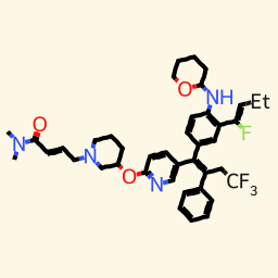 CC/C=C(\F)c1cc(/C(=C(\CC(F)(F)F)c2ccccc2)c2ccc(OC3CCCN(C/C=C/C(=O)N(C)C)C3)nc2)ccc1NC1CCCCO1